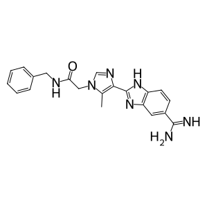 Cc1c(-c2nc3cc(C(=N)N)ccc3[nH]2)ncn1CC(=O)NCc1ccccc1